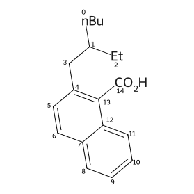 CCCCC(CC)Cc1ccc2ccccc2c1C(=O)O